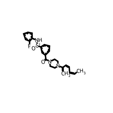 C=C(/C=C\C=C/C)N1CCN(C(=O)c2cccc([S+]([O-])Nc3ccccc3F)c2)CC1